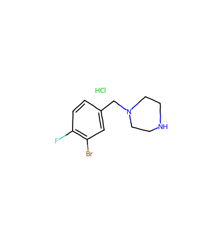 Cl.Fc1ccc(CN2CCNCC2)cc1Br